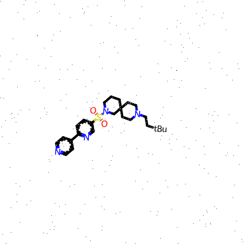 CC(C)(C)CCN1CCC2(CCCN(S(=O)(=O)c3ccc(-c4ccncc4)nc3)C2)CC1